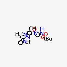 CCn1c(-c2nc3cc(C(=O)N4CCCC(NC(=O)OC(C)(C)C)C4)c(C)cc3n2C)cc2ccccc21